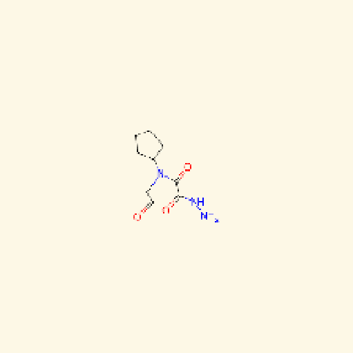 NNC(=O)C(=O)N(C[C]=O)C1CCCC1